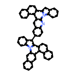 c1ccc2cc3c(cc2c1)c1c2ccccc2ccc1c1c(-c2ccc4nc5c(cc4c2)c2c4ccccc4ccc2c2cc4ccccc4n25)c2ccccc2n31